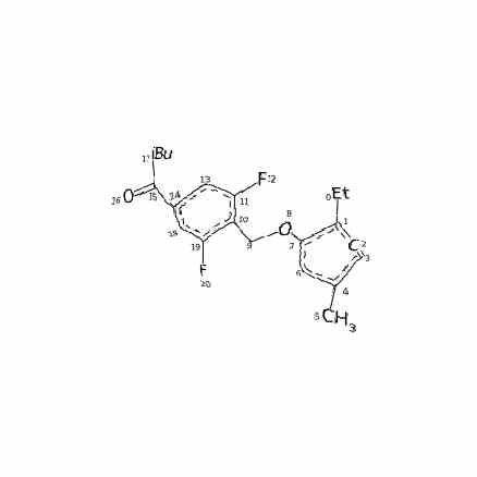 CCc1ccc(C)cc1OCc1c(F)cc(C(=O)C(C)CC)cc1F